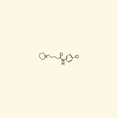 O=C(CCCCN1CCCCC1)Nc1ccc(Cl)cc1